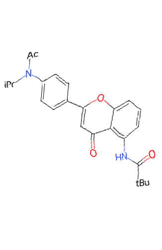 CC(=O)N(c1ccc(-c2cc(=O)c3c(NC(=O)C(C)(C)C)cccc3o2)cc1)C(C)C